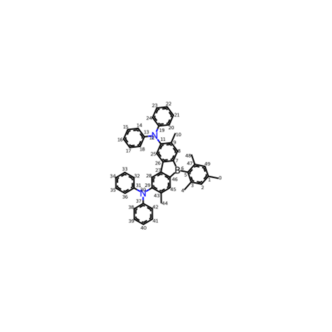 Cc1cc(C)c(B2c3cc(C)c(N(c4ccccc4)c4ccccc4)cc3-c3cc(N(c4ccccc4)c4ccccc4)c(C)cc32)c(C)c1